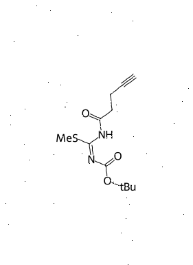 C#CCCC(=O)NC(=NC(=O)OC(C)(C)C)SC